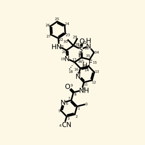 Cc1cc(C#N)cnc1C(=O)Nc1ccc(F)c([C@@]2(C)N=C(Nc3ccccc3)C(C)(C)[SH]3(=O)NCC[C@@H]23)n1